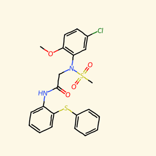 COc1ccc(Cl)cc1N(CC(=O)Nc1ccccc1Sc1ccccc1)S(C)(=O)=O